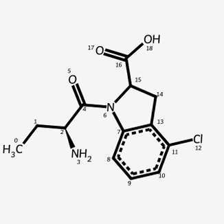 CC[C@H](N)C(=O)N1c2cccc(Cl)c2CC1C(=O)O